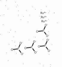 [O-]P([O-])[O-].[O-]P([O-])[O-].[O-]P([O-])[O-].[O-]P([O-])[O-].[Ru+4].[Ru+4].[Ru+4]